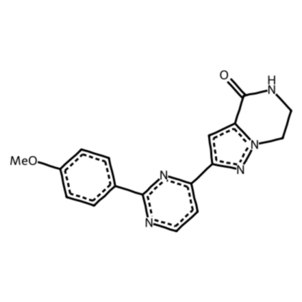 COc1ccc(-c2nccc(-c3cc4n(n3)CCNC4=O)n2)cc1